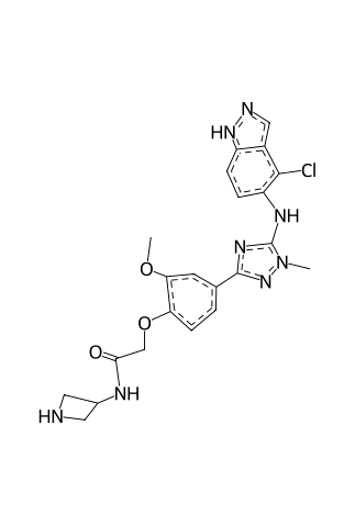 COc1cc(-c2nc(Nc3ccc4[nH]ncc4c3Cl)n(C)n2)ccc1OCC(=O)NC1CNC1